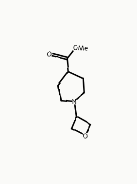 COC(=O)C1CCN(C2COC2)CC1